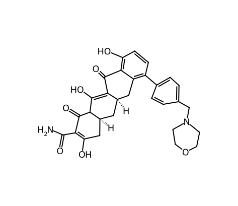 NC(=O)C1=C(O)C[C@@H]2C[C@@H]3Cc4c(-c5ccc(CN6CCOCC6)cc5)ccc(O)c4C(=O)C3=C(O)C2C1=O